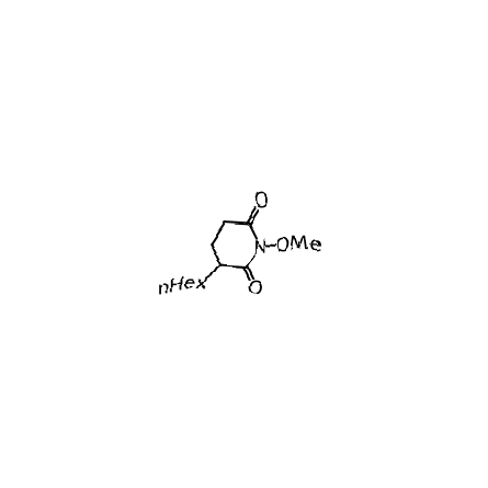 CCCCCCC1CCC(=O)N(OC)C1=O